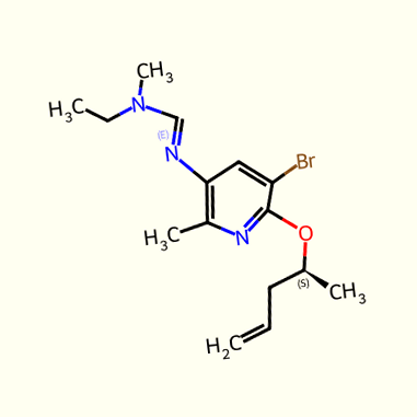 C=CC[C@H](C)Oc1nc(C)c(/N=C/N(C)CC)cc1Br